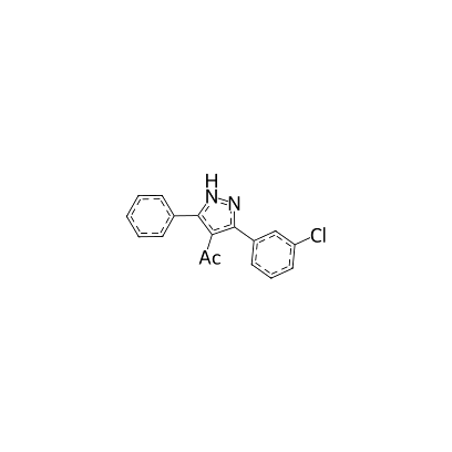 CC(=O)c1c(-c2cccc(Cl)c2)n[nH]c1-c1ccccc1